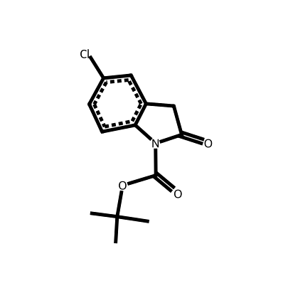 CC(C)(C)OC(=O)N1C(=O)Cc2cc(Cl)ccc21